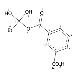 CCC(O)(O)OC(=O)c1cccc(C(=O)O)c1